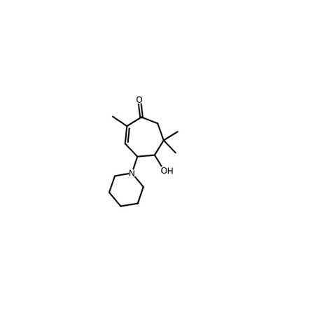 CC1=CC(N2CCCCC2)C(O)C(C)(C)CC1=O